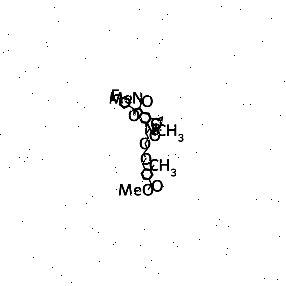 CNC(=O)c1c(-c2ccc(F)cc2)oc2cc(N(CCOCCOCc3ccc(C(=O)OC)cc3C)S(C)(=O)=O)c(C3CC3)cc12